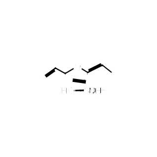 C=C.C=CCOC=CC.N.O=S(=O)(O)O